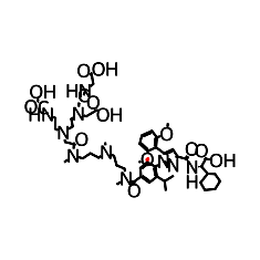 COc1cccc(OC)c1-c1cc(C(=O)N[C@H](C(=O)O)C2CCCCC2)nn1-c1ccc(C(=O)N(C)CCCN(C)CCCN(C)C(=O)CN(CCNCC(=O)O)CCN(CCNCC(=O)O)CC(=O)O)cc1C(C)C